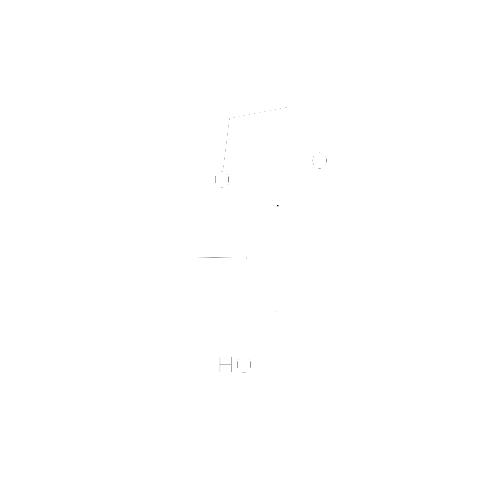 CCC(CO)C1(C)OCCO1